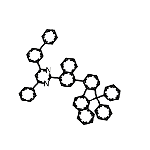 c1ccc(-c2cccc(-c3cc(-c4ccccc4)nc(-c4ccc(-c5cccc6c5-c5ccc7ccccc7c5C6(c5ccccc5)c5ccccc5)c5ccccc45)n3)c2)cc1